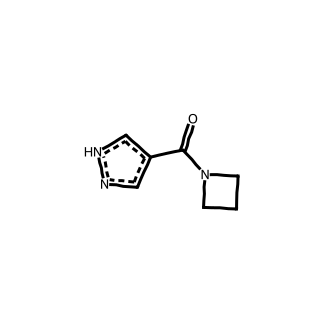 O=C(c1cn[nH]c1)N1CCC1